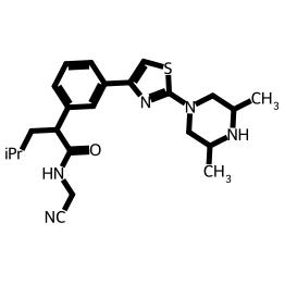 CC(C)CC(C(=O)NCC#N)c1cccc(-c2csc(N3CC(C)NC(C)C3)n2)c1